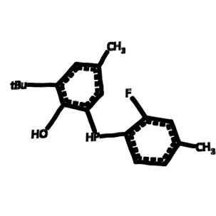 Cc1ccc(Pc2cc(C)cc(C(C)(C)C)c2O)c(F)c1